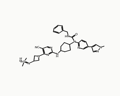 Cn1cc(-c2ccc(N(C(=O)NCc3ccccc3)C3CCC(Nc4ncc(C#N)c(N5CC(N=[SH](C)(C)O)C5)n4)CC3)nc2)cn1